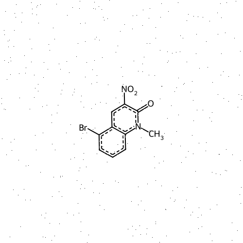 Cn1c(=O)c([N+](=O)[O-])cc2c(Br)cccc21